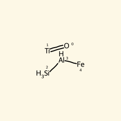 [O]=[Ti].[SiH3][AlH][Fe]